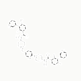 Cc1ccc(C(=O)NC2CCN(c3ccc(CN4CCC(NC(=O)c5ccc(F)c(-c6cccnc6)c5C)CC4)cn3)CC2)c(C)c1-c1cccnc1